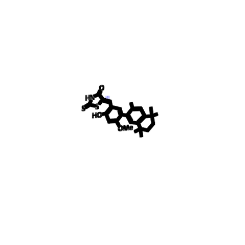 COc1cc(O)c(/C=C2\SC(=S)NC2=O)cc1-c1cc2c(cc1C)C(C)(C)CCC2(C)C